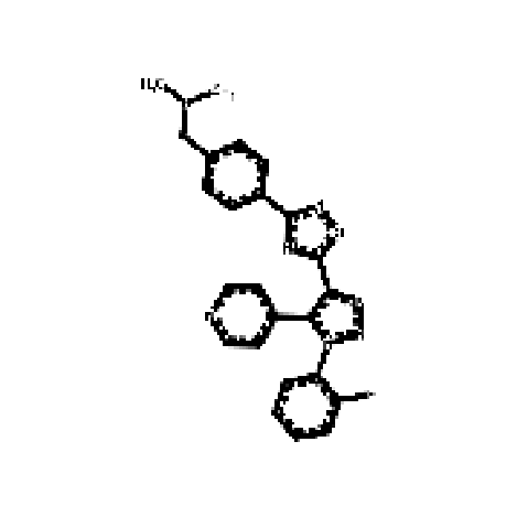 CN(C)Cc1ccc(-c2noc(-c3nnn(-c4ccccc4F)c3-c3ccncc3)n2)cc1